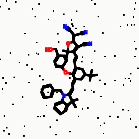 CC1(C)OC(=C(C#N)C#N)C(C#N)=C1C=CC1=C(Oc2ccc(CO)cc2)C(=CC=C2N(Cc3ccccc3)c3ccccc3C2(C)C)CC(C(C)(C)C)C1